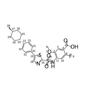 COc1cc(C(=O)O)c(F)cc1NS(=O)(=O)c1ncc(-c2ccc([C@H]3CC[C@H](C)CC3)cc2)s1